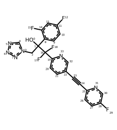 OC(Cn1cnnn1)(c1ccc(F)cc1F)C(F)(F)c1ccc(C#Cc2ccc(F)cn2)cn1